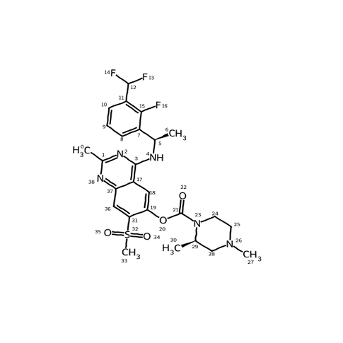 Cc1nc(N[C@H](C)c2cccc(C(F)F)c2F)c2cc(OC(=O)N3CCN(C)C[C@H]3C)c(S(C)(=O)=O)cc2n1